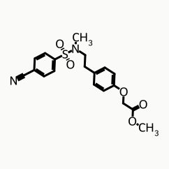 COC(=O)COc1ccc(CCN(C)S(=O)(=O)c2ccc(C#N)cc2)cc1